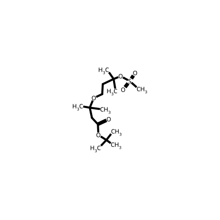 CC(C)(C)OC(=O)CC(C)(C)OCCC(C)(C)OS(C)(=O)=O